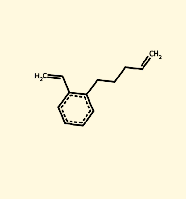 C=CCCCc1ccccc1C=C